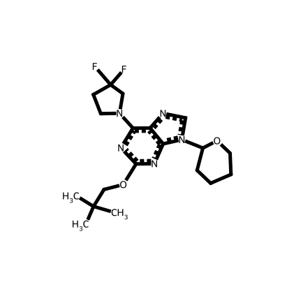 CC(C)(C)COc1nc(N2CCC(F)(F)C2)c2ncn(C3CCCCO3)c2n1